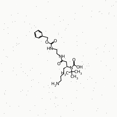 CC(C)(C)N(C(=O)O)[C@@H](CCCCN)CC(=O)NCCNC(=O)OCc1ccccc1